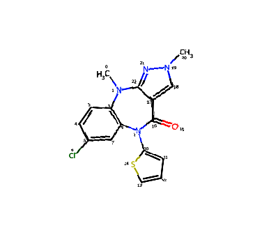 CN1c2ccc(Cl)cc2N(c2cccs2)C(=O)c2cn(C)nc21